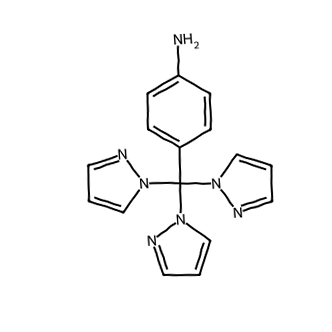 Nc1ccc(C(n2cccn2)(n2cccn2)n2cccn2)cc1